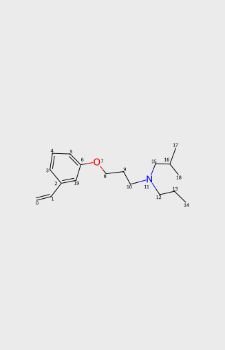 C=Cc1cccc(OCCCN(CCC)CC(C)C)c1